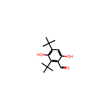 CC(C)(C)c1cc(O)c(C=O)c(C(C)(C)C)c1O